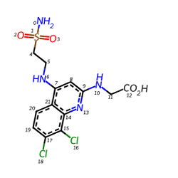 NS(=O)(=O)CCNc1cc(NCC(=O)O)nc2c(Cl)c(Cl)ccc12